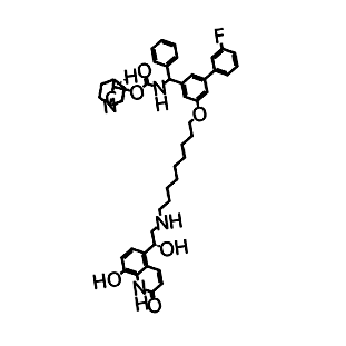 O=C(NC(c1ccccc1)c1cc(OCCCCCCCCCNC[C@H](O)c2ccc(O)c3[nH]c(=O)ccc23)cc(-c2cccc(F)c2)c1)O[C@H]1CN2CCC1CC2